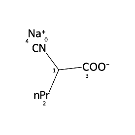 [C-]#[N+]C(CCC)C(=O)[O-].[Na+]